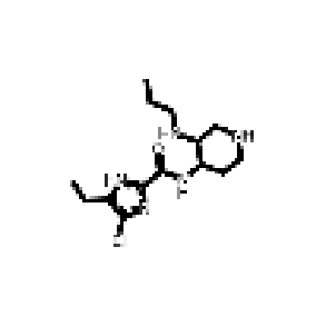 CCCNC1CNCCC1NC(=O)c1nc(Cl)c(CC)[nH]1